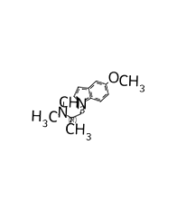 COc1ccc2c(ccn2C[C@@H](C)N(C)C)c1